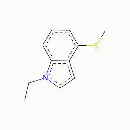 CCn1ccc2c(SC)cccc21